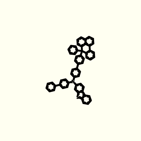 c1ccc(-c2ccc(N(c3ccc(-c4ccc(C5(c6ccccc6)c6ccccc6-c6cccc7cccc5c67)cc4)cc3)c3ccc4c(c3)sc3ccccc34)cc2)cc1